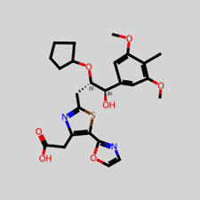 COc1cc([C@@H](O)[C@H](Cc2nc(CC(=O)O)c(-c3ncco3)s2)OC2CCCC2)cc(OC)c1C